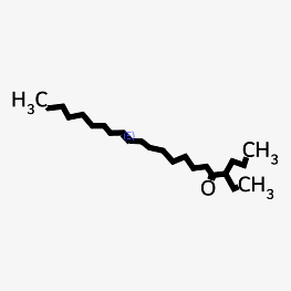 CCCCCCCC/C=C/CCCCCCCC(=O)C(CC)CCC